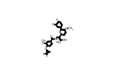 COc1cc(C(=O)NCC(=C(O)O)c2ccc(OC)c(-c3ccc(F)c(Cl)c3)n2)ccc1OC1CC1(F)F